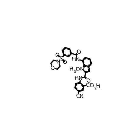 Cn1c(C(=O)Nc2ccc(C#N)cc2C(=O)O)cc2cccc(NC(=O)c3cccc(S(=O)(=O)N4CCOCC4)c3)c21